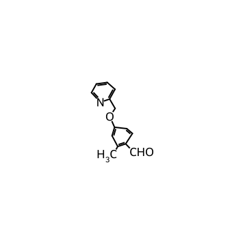 Cc1cc(OCc2ccccn2)ccc1C=O